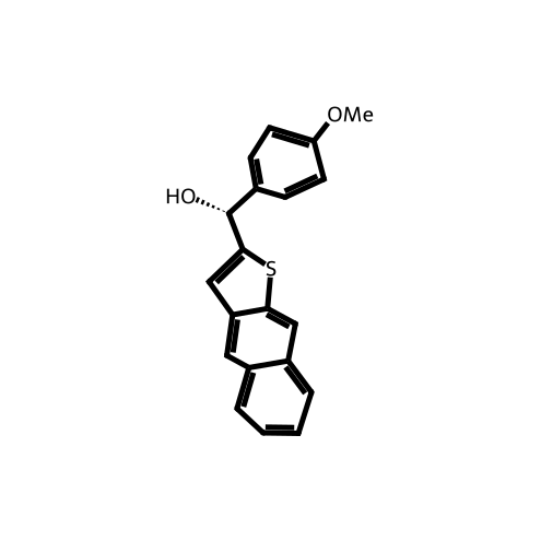 COc1ccc([C@@H](O)c2cc3cc4ccccc4cc3s2)cc1